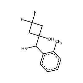 OC1(C(S)c2ccccc2C(F)(F)F)CC(F)(F)C1